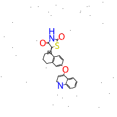 O=C1NC(=O)C([C@@H]2CCCc3cc(Oc4ccnc5ccccc45)ccc32)S1